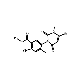 CCc1cc(=O)n(-c2cc(C(=O)OC(C)C)c(Cl)cc2F)c(=O)n1C